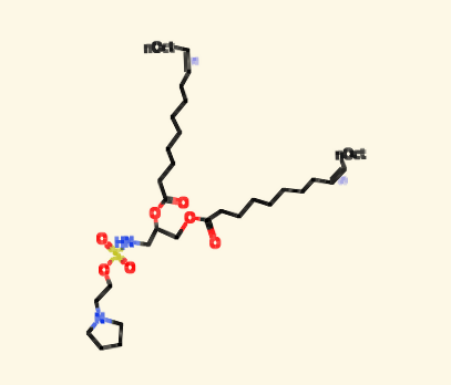 CCCCCCCC/C=C\CCCCCCCC(=O)OCC(CNS(=O)(=O)OCCN1CCCC1)OC(=O)CCCCCCC/C=C\CCCCCCCC